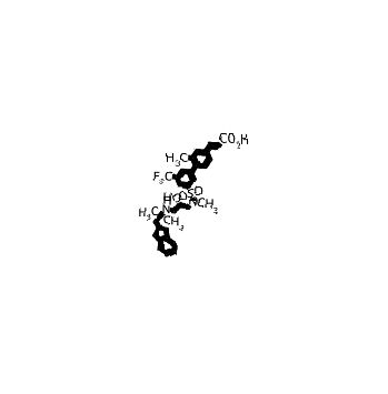 Cc1cc(C=CC(=O)O)ccc1-c1cc(C(F)(F)F)cc(S(=O)(=O)N(C)CC(O)CNC(C)(C)CC2Cc3ccccc3C2)c1